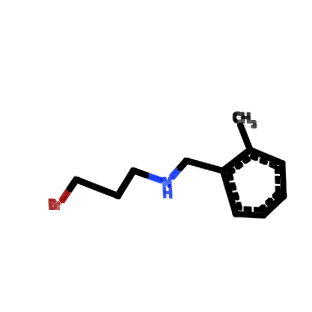 Cc1ccccc1CNCCCBr